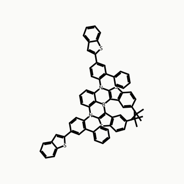 CC(C)(C)c1ccc2sc3c(c2c1)B1c2c(cccc2N(c2ccc(-c4cc5ccccc5s4)cc2-c2ccccc2)c2sc4ccc(C(C)(C)C)cc4c21)N3c1ccc(-c2cc3ccccc3s2)cc1-c1ccccc1